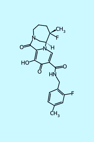 Cc1ccc(CNC(=O)c2cn3c(c(O)c2=O)C(=O)N2CCC[C@](C)(F)[C@@H]3C2)c(F)c1